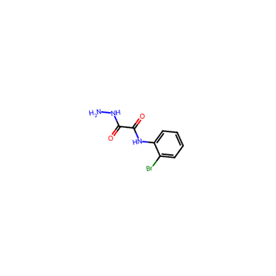 NNC(=O)C(=O)Nc1ccccc1Br